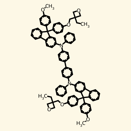 CCC1(COc2ccc(C3(c4ccc(OC)cc4)c4ccccc4-c4ccc(N(c5ccccc5)c5ccc(-c6ccc(N(c7ccccc7)c7ccc8c(c7)C(c7ccc(OC)cc7)(c7ccc(OCC9(CC)COC9)cc7)c7ccccc7-8)cc6)cc5)cc43)cc2)COC1